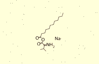 CCCCCCCCCCCC(=O)OC(=O)[C@@H](N)C(C)C.[Na]